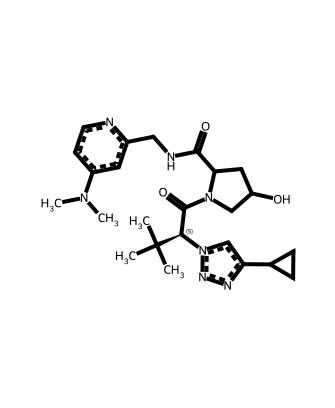 CN(C)c1ccnc(CNC(=O)C2CC(O)CN2C(=O)[C@@H](n2cc(C3CC3)nn2)C(C)(C)C)c1